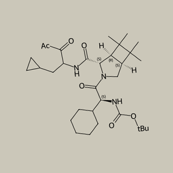 CC(=O)C(=O)C(CC1CC1)NC(=O)[C@@H]1[C@@H]2[C@H](CN1C(=O)[C@@H](NC(=O)OC(C)(C)C)C1CCCCC1)C(C)(C)C2(C)C